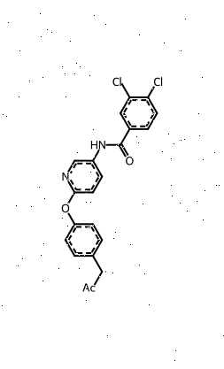 CC(=O)[CH]c1ccc(Oc2ccc(NC(=O)c3ccc(Cl)c(Cl)c3)cn2)cc1